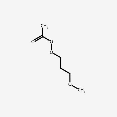 COCCCOOC(C)=O